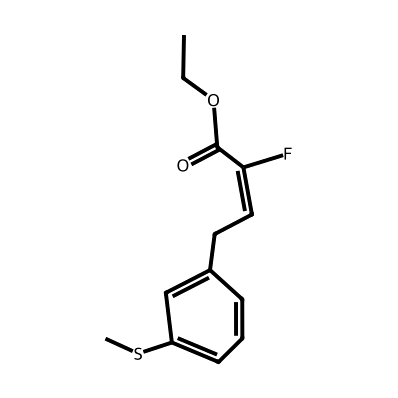 CCOC(=O)/C(F)=C\Cc1cccc(SC)c1